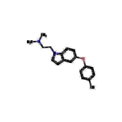 CN(C)CCn1ccc2cc(Oc3ccc(C#N)cc3)ccc21